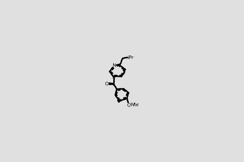 COc1ccc(C(=O)c2ccc(C[C](C)C)nc2)cc1